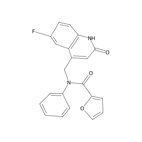 O=C(c1ccco1)N(Cc1cc(=O)[nH]c2ccc(F)cc12)c1ccccc1